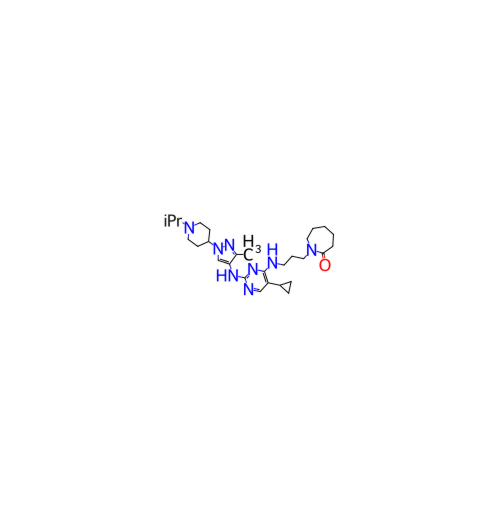 Cc1nn(C2CCN(C(C)C)CC2)cc1Nc1ncc(C2CC2)c(NCCCN2CCCCCC2=O)n1